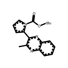 Cc1nc2ccccc2nc1-c1cccn1C(=O)OC(C)(C)C